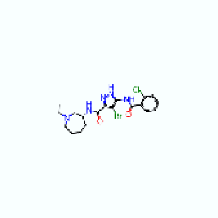 CCN1CCCC[C@@H](NC(=O)c2n[nH]c(NC(=O)c3ccccc3Cl)c2Br)C1